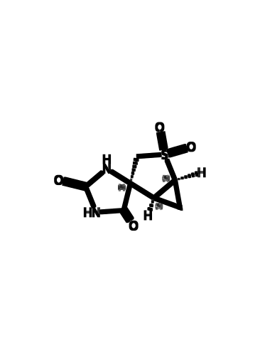 O=C1NC(=O)[C@@]2(CS(=O)(=O)[C@H]3C[C@H]32)N1